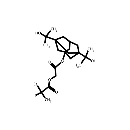 CCC(C)(I)C(=O)OCC(=O)OC12CC3CC(C(C)(C)O)(C1)CC(C(C)(C)O)(C3)C2